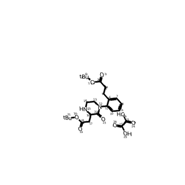 CC(C)(C)OC(=O)CCc1ccccc1N1CCNC(CC(=O)OC(C)(C)C)C1=O.O=C(O)C(=O)O